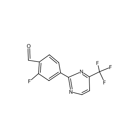 O=Cc1ccc(-c2nccc(C(F)(F)F)n2)cc1F